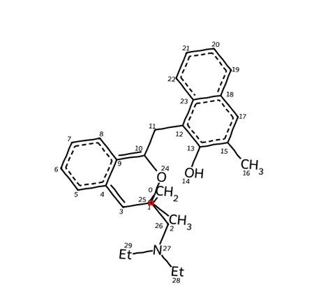 C=C(C)/C=c1/cccc/c1=C(\Cc1c(O)c(C)cc2ccccc12)OCCN(CC)CC